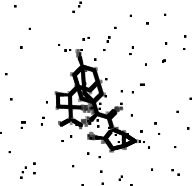 CN(C)C1(C(=O)O)CC[C@H]1C12CC3C[C@H](CC([C@H](N)C(=O)N4C5CC5C[C@H]4C#N)(C3)C1)C2